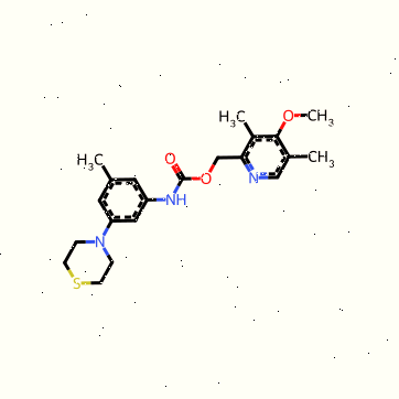 COc1c(C)cnc(COC(=O)Nc2cc(C)cc(N3CCSCC3)c2)c1C